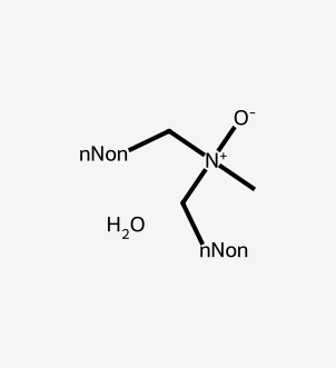 CCCCCCCCCC[N+](C)([O-])CCCCCCCCCC.O